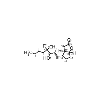 CCCCC(C)(F)C(O)C=C[C@H]1CC[C@H]2OC(=O)C[C@H]12